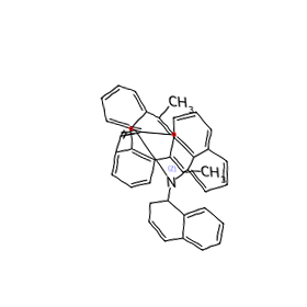 C/C=C1\C2=C(C)c3ccccc3-c3c1cccc3-c1ccc(N(c3cccc4ccccc34)C3CC=Cc4ccccc43)cc12